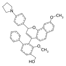 COc1ccc2ccc3c(c2c1)OC(c1ccc(N2CCCC2)cc1)C=C3c1c(-c2ccccc2)ccc(CO)c1OC